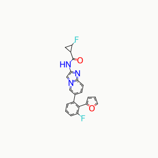 O=C(Nc1cn2cc(-c3cccc(F)c3-c3ccco3)ccc2n1)C1CC1F